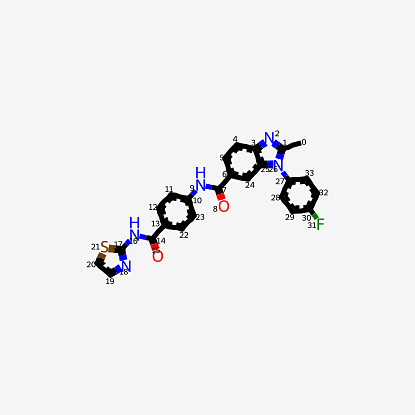 Cc1nc2ccc(C(=O)Nc3ccc(C(=O)Nc4nccs4)cc3)cc2n1-c1ccc(F)cc1